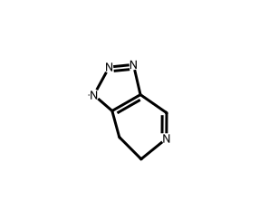 C1=NCCC2=C1N=N[N]2